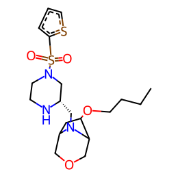 CCCCOC1CC2COCC1N2C[C@H]1CN(S(=O)(=O)c2cccs2)CCN1